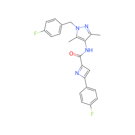 Cc1nn(Cc2ccc(F)cc2)c(C)c1NC(=O)C1=NC(c2ccc(F)cc2)=C1